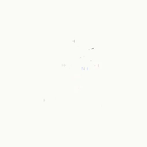 O=C(N[C@H](C(=O)O)C12C[C@@H]3C[C@@H](CC(O)(C3)C1)C2)c1ccc2cc(F)ccc2c1OCc1ccc(C(F)(F)F)cc1